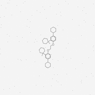 CC1(c2cc(C3CCCCC3)ccc2OCCOc2ccc(C3CCCCC3)cc2C2(C)CCCCC2)CCCCC1